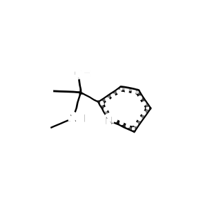 CNC(C)(O)c1ccccn1